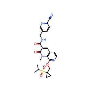 CC(C)S(=O)(=O)C1(COc2nccc3cc(C(=O)NCc4ccc(C#N)nc4)c(=O)n(C)c23)CC1